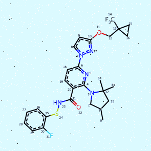 CC1CN(c2nc(-n3ccc(OCC4(C(F)(F)F)CC4)n3)ccc2C(=O)NSc2ccccc2F)C(C)(C)C1